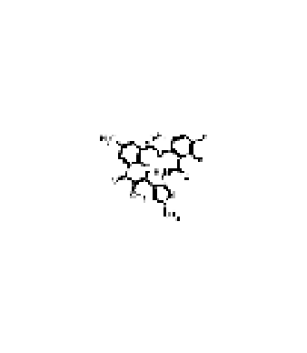 Cc1cc([C@@H](C)Oc2ccc(F)c(F)c2C(N)=O)c2oc(-c3cnn(C)c3)c(C)c(=O)c2c1